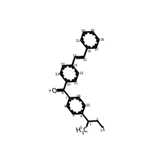 CC(CI)c1ccc(C(=O)c2ccc(C=Cc3ccccc3)cc2)cc1